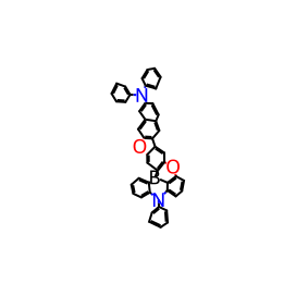 c1ccc(N(c2ccccc2)c2ccc3cc4c(cc3c2)oc2cc3c(cc24)Oc2cccc4c2B3c2ccccc2N4c2ccccc2)cc1